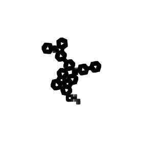 CC1C=CC2=C(C1)c1ccc(N(c3ccc(-c4ccccc4)cc3)c3ccc(-c4ccc5c(c4)c4ccccc4n5-c4ccccc4)cc3)cc1C21C2=C(C=CCC2)c2ccccc21